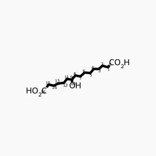 O=C(O)CCCCCCCCC(O)CCCCCC(=O)O